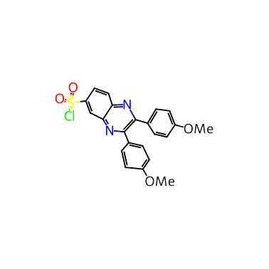 COc1ccc(-c2nc3ccc(S(=O)(=O)Cl)cc3nc2-c2ccc(OC)cc2)cc1